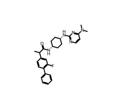 CC(C(=O)N[C@H]1CC[C@@H](Nc2nccc(N(C)C)n2)CC1)c1ccc(-c2ccccc2)c(F)c1